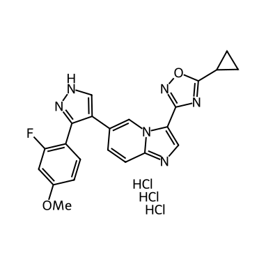 COc1ccc(-c2n[nH]cc2-c2ccc3ncc(-c4noc(C5CC5)n4)n3c2)c(F)c1.Cl.Cl.Cl